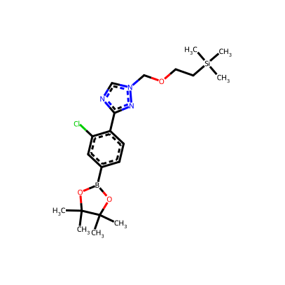 CC1(C)OB(c2ccc(-c3ncn(COCC[Si](C)(C)C)n3)c(Cl)c2)OC1(C)C